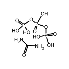 NC(N)=O.O=P(O)(O)OP(=O)(O)OP(=O)(O)O